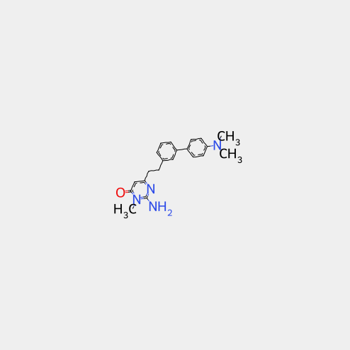 CN(C)c1ccc(-c2cccc(CCc3cc(=O)n(C)c(N)n3)c2)cc1